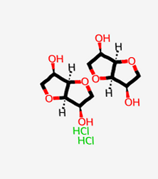 Cl.Cl.O[C@@H]1CO[C@H]2[C@@H]1OC[C@H]2O.O[C@@H]1CO[C@H]2[C@@H]1OC[C@H]2O